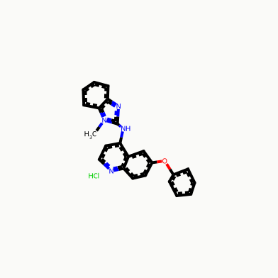 Cl.Cn1c(Nc2ccnc3ccc(Oc4ccccc4)cc23)nc2ccccc21